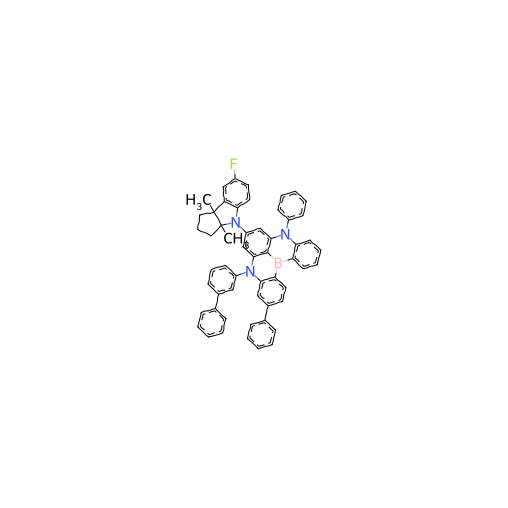 CC12CCCC1(C)N(c1cc3c4c(c1)N(c1cccc(-c5ccccc5)c1)c1cc(-c5ccccc5)ccc1B4c1ccccc1N3c1ccccc1)c1ccc(F)cc12